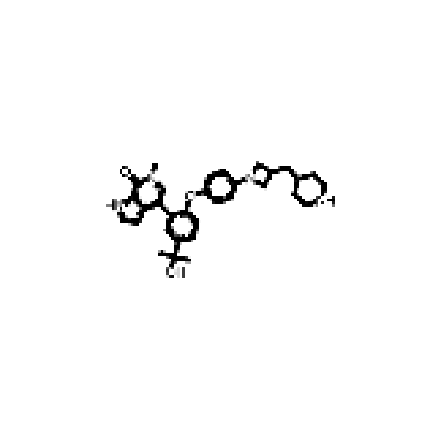 Cn1cc(-c2cc(C(C)(C)O)ccc2Oc2ccc(N3CC(CC4CCNCC4)C3)cc2)c2cc[nH]c2c1=O